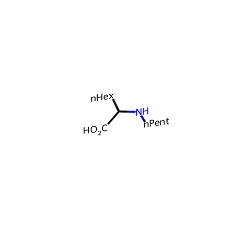 CCCCCCC(NCCCCC)C(=O)O